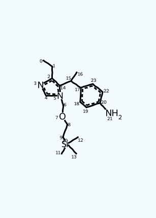 CCc1ncn(COCC[Si](C)(C)C)c1C(C)c1ccc(N)cc1